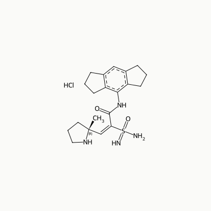 C[C@]1(C=C(C(=O)Nc2c3c(cc4c2CCC4)CCC3)S(=N)(N)=O)CCCN1.Cl